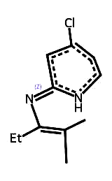 CCC(/N=c1/cc(Cl)cc[nH]1)=C(C)C